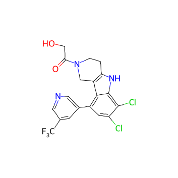 O=C(CO)N1CCc2[nH]c3c(Cl)c(Cl)cc(-c4cncc(C(F)(F)F)c4)c3c2C1